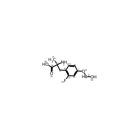 C[C@@](N)(Cc1ccc(OBO)cc1F)C(=O)O